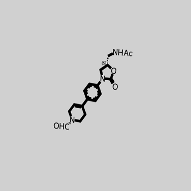 CC(=O)NC[C@H]1CN(c2ccc(C3=CCN(C=O)CC3)cc2)C(=O)O1